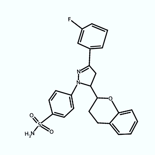 NS(=O)(=O)c1ccc(N2N=C(c3cccc(F)c3)CC2C2CCc3ccccc3O2)cc1